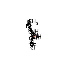 COc1ccc(OCC(=O)NC23CCC(NC(=O)COc4ccc(Cl)c(F)c4)(CC2)[C@@H](O)C3)nc1